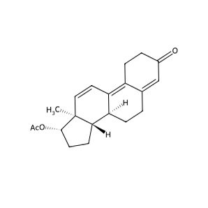 CC(=O)O[C@H]1CC[C@H]2[C@@H]3CCC4=CC(=O)CCC4=C3C=C[C@]12C